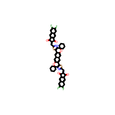 O=C1C(=CC2NC3=C(S2)C2=CC4C=C5OC6(CCCCC6)c6nc(/C=C7\C(=O)c8cc9c(cc8C7=O)CC(F)C(F)=C9)sc6C5=CC4C=C2OC32CCCCC2)C(=O)c2cc3cc(F)c(F)cc3cc21